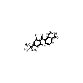 CC(C)(N)c1cc(F)c(C(=O)c2cccc3c(=O)[nH]ccc23)c(F)c1